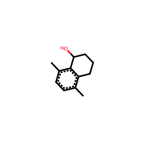 Cc1ccc(C)c2c1CCCC2O